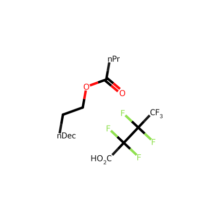 CCCCCCCCCCCCOC(=O)CCC.O=C(O)C(F)(F)C(F)(F)C(F)(F)F